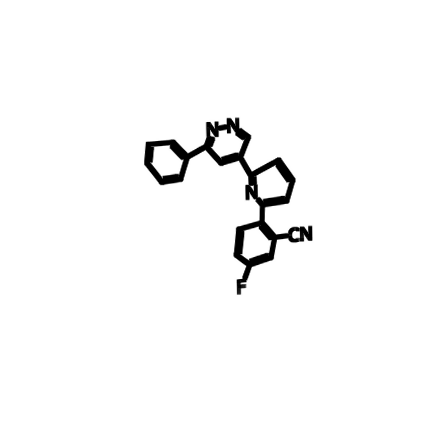 N#Cc1cc(F)ccc1-c1cccc(-c2cnnc(-c3ccccc3)c2)n1